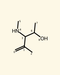 C=C(C)C(NC)C(C)O